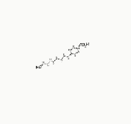 O=C(O)c1ccc(CCCCCCCCO)cc1